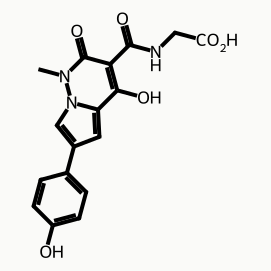 Cn1c(=O)c(C(=O)NCC(=O)O)c(O)c2cc(-c3ccc(O)cc3)cn21